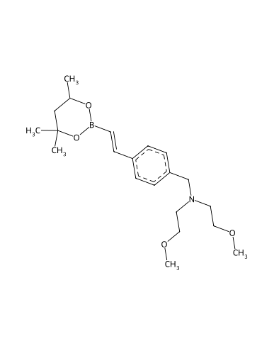 COCCN(CCOC)Cc1ccc(/C=C/B2OC(C)CC(C)(C)O2)cc1